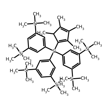 CC1=C(C)C(C)C([Si](c2cc([Si](C)(C)C)cc([Si](C)(C)C)c2)(c2cc([Si](C)(C)C)cc([Si](C)(C)C)c2)c2cc([Si](C)(C)C)cc([Si](C)(C)C)c2)=C1C